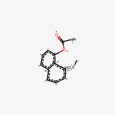 CC(=O)O.CCCC(=O)Oc1cccc2ccccc12